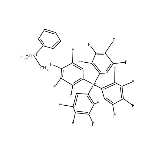 C[NH+](C)c1ccccc1.Fc1cc([B-](c2cc(F)c(F)c(F)c2F)(c2cc(F)c(F)c(F)c2F)c2cc(F)c(F)c(F)c2F)c(F)c(F)c1F